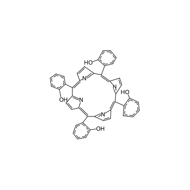 Oc1ccccc1C1=C2C=CC(=N2)C(c2ccccc2O)=C2C=CC(=N2)C(c2ccccc2O)=C2C=CC(=N2)C(c2ccccc2O)=C2C=CC1=N2